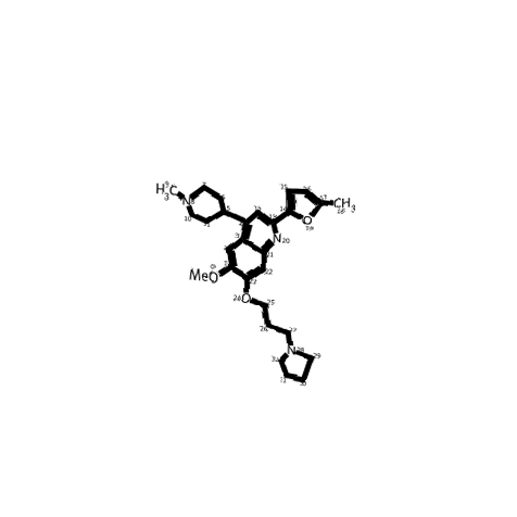 COc1cc2c(C3CCN(C)CC3)cc(-c3ccc(C)o3)nc2cc1OCCCN1CCCC1